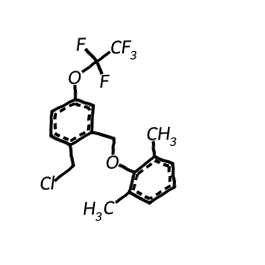 Cc1cccc(C)c1OCc1cc(OC(F)(F)C(F)(F)F)ccc1CCl